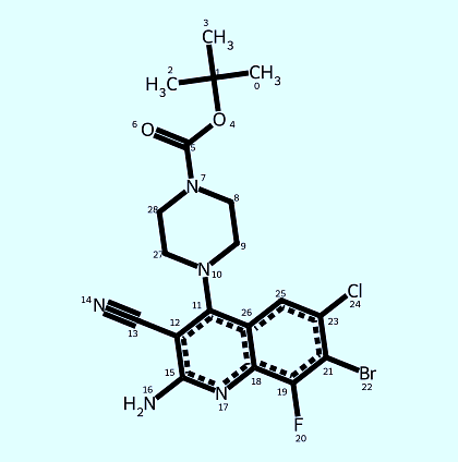 CC(C)(C)OC(=O)N1CCN(c2c(C#N)c(N)nc3c(F)c(Br)c(Cl)cc23)CC1